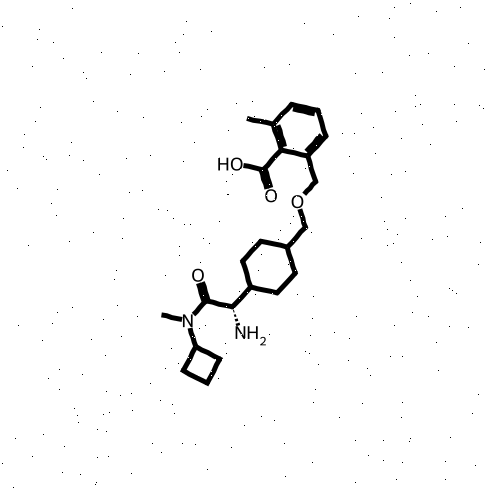 Cc1cccc(COCC2CCC([C@H](N)C(=O)N(C)C3CCC3)CC2)c1C(=O)O